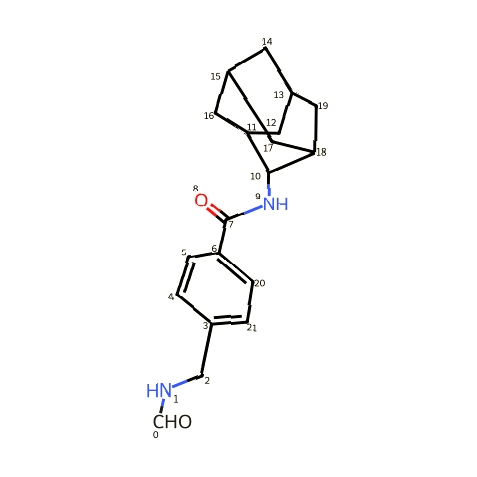 O=CNCc1ccc(C(=O)NC2C3CC4CC(C3)CC2C4)cc1